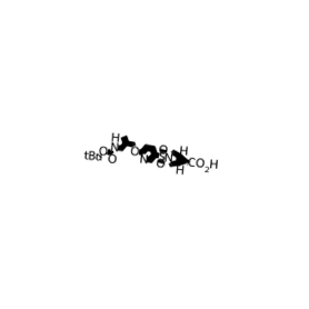 C=C(CNC(=O)OC(C)(C)C)COc1ccc(S(=O)(=O)N2C[C@@H]3[C@H](C2)[C@H]3C(=O)O)cn1